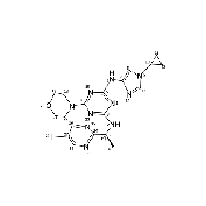 C[C@H](Nc1nc(Nc2cn(C3CC3)cn2)nc(N2CCOCC2)n1)c1ncc(F)cn1